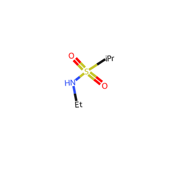 [CH2]CNS(=O)(=O)C(C)C